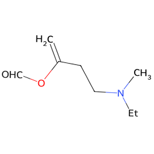 C=C(CCN(C)CC)OC=O